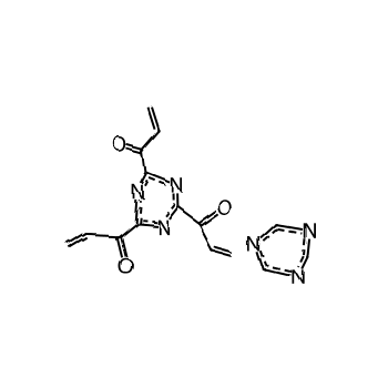 C=CC(=O)c1nc(C(=O)C=C)nc(C(=O)C=C)n1.c1ncncn1